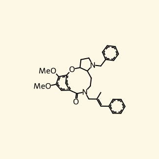 COc1cc2cc(c1OC)OC1CCN(Cc3ccccc3)C1CCN(C/C(C)=C/c1ccccc1)C2=O